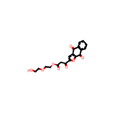 O=C(CC(=O)c1cc2c(o1)C(=O)c1ccccc1C2=O)OCCOCCO